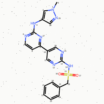 Cn1cc(Nc2nccc(-c3cnc(NS(=O)(=O)Cc4ccccc4)nc3)n2)cn1